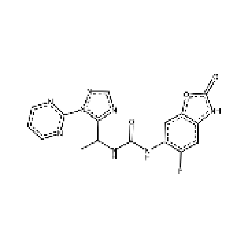 CC(NC(=O)Nc1cc2oc(=O)[nH]c2cc1F)c1ncnn1-c1ncccn1